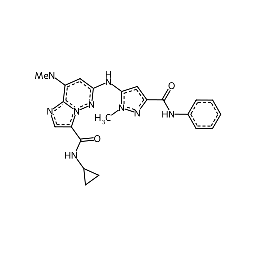 CNc1cc(Nc2cc(C(=O)Nc3ccccc3)nn2C)nn2c(C(=O)NC3CC3)cnc12